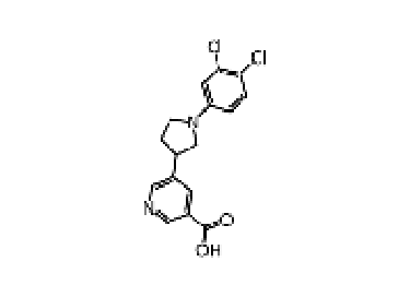 O=C(O)c1cncc(C2CCN(c3ccc(Cl)c(Cl)c3)C2)c1